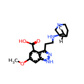 COc1cc(C(=O)O)c2c(CCN[C@@H]3CN4CCC3CC4)n[nH]c2c1